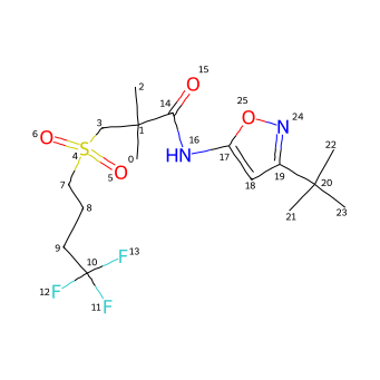 CC(C)(CS(=O)(=O)CCCC(F)(F)F)C(=O)Nc1cc(C(C)(C)C)no1